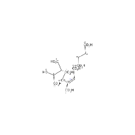 CC(=O)O.O=C(O)/C=C/C(=O)O.O=C(O)CC(O)C(=O)O.O=C(O)CCC(=O)O